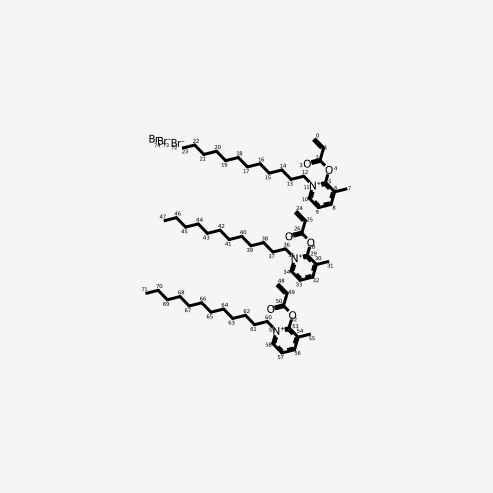 C=CC(=O)Oc1c(C)ccc[n+]1CCCCCCCCCCCC.C=CC(=O)Oc1c(C)ccc[n+]1CCCCCCCCCCCC.C=CC(=O)Oc1c(C)ccc[n+]1CCCCCCCCCCCC.[Br-].[Br-].[Br-]